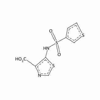 O=C(O)c1ncsc1NS(=O)(=O)c1ccsc1